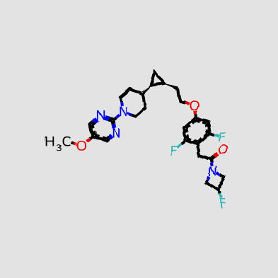 COc1cnc(N2CCC([C@H]3C[C@H]3CCOc3cc(F)c(CC(=O)N4CC(F)C4)c(F)c3)CC2)nc1